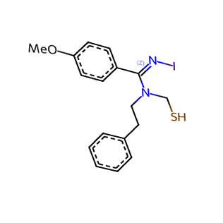 COc1ccc(/C(=N/I)N(CS)CCc2ccccc2)cc1